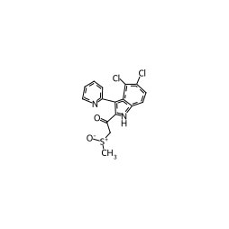 C[S+]([O-])CC(=O)c1[nH]c2ccc(Cl)c(Cl)c2c1-c1ccccn1